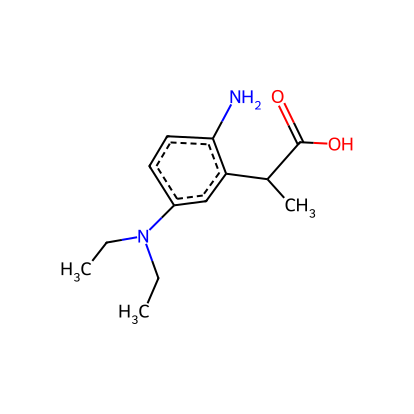 CCN(CC)c1ccc(N)c(C(C)C(=O)O)c1